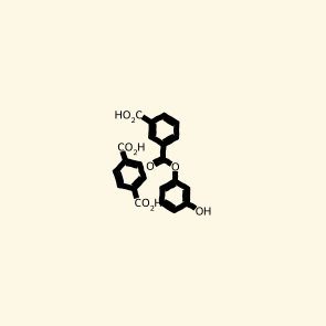 O=C(O)c1ccc(C(=O)O)cc1.O=C(O)c1cccc(C(=O)Oc2cccc(O)c2)c1